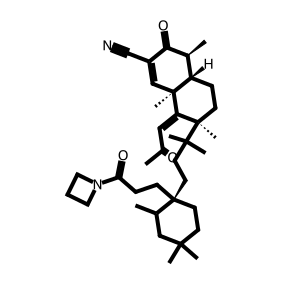 CC(=O)/C=C1/[C@@]2(C)C=C(C#N)C(=O)[C@@H](C)[C@@H]2CC[C@@]1(C)C(C)(C)CC[C@@]1(CCC(=O)N2CCC2)CCC(C)(C)CC1C